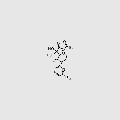 CCC(=O)OC(=O)C(C)(O)C1OCCN(c2cccc(C(F)(F)F)n2)C1=O